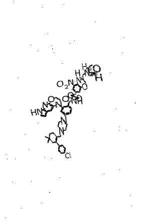 CC1(C)CCC(CN2CCN(c3ccc(C(=O)NS(=O)(=O)c4cc5c(c([N+](=O)[O-])c4)N[C@@H](CN4C[C@@H]6C[C@H]4CO6)CO5)c(N4CCOc5nc6[nH]ccc6cc54)c3)CC2)=C(c2ccc(Cl)cc2)C1